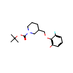 CC(C)(C)OC(=O)N1CCCC(COc2c(O)cccc2F)C1